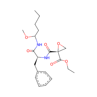 CCCCC(NC(=O)[C@H](Cc1ccccc1)NC(=O)[C@]1(C(=O)OCC)CO1)OC